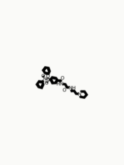 O=C(CNC(=O)c1ccc(S(=O)(=O)N(Oc2ccccc2)c2ccccc2)cc1)NCCCN1CCCCC1